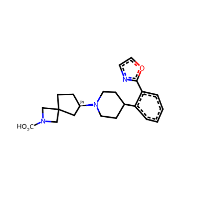 O=C(O)N1CC2(CC[C@@H](N3CCC(c4ccccc4-c4ncco4)CC3)C2)C1